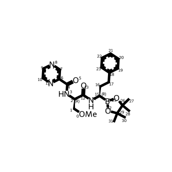 COC[C@@H](NC(=O)c1cnccn1)C(=O)N[C@@H](CCc1ccccc1)B1OC(C)(C)C(C)(C)O1